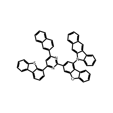 c1ccc2cc(-c3cc(-c4cccc5c4sc4ccccc45)nc(-c4cc(-n5c6ccccc6c6cc7ccccc7cc65)c5c(c4)oc4ccccc45)n3)ccc2c1